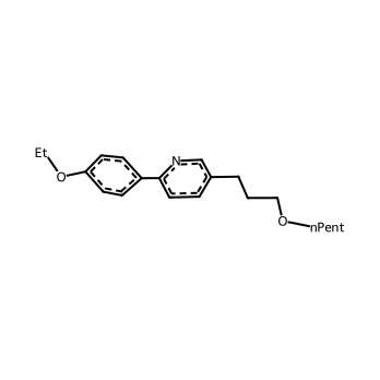 CCCCCOCCCc1ccc(-c2ccc(OCC)cc2)nc1